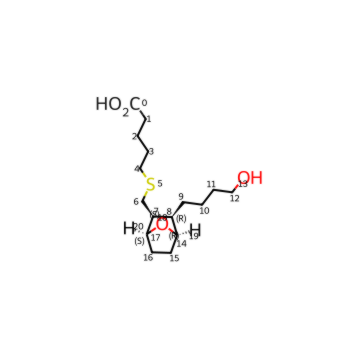 O=C(O)CCCCSC[C@H]1[C@@H](CCCCO)[C@H]2CC[C@@H]1O2